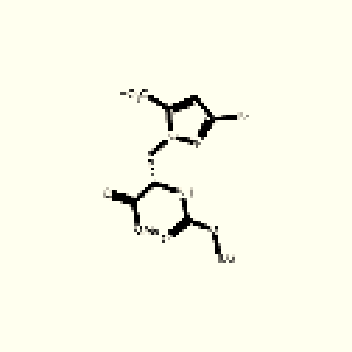 COC(=O)[C@H](Cn1nc(Br)cc1C(=O)O)NC(=O)OC(C)(C)C